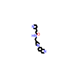 O=C(/C=C/c1cccnc1)NCCC1C2CN(c3ccc4ccncc4c3)CC12